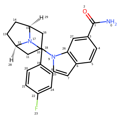 NC(=O)c1ccc2ccn(C3C[C@H]4CC[C@@H](C3)N4Cc3ccc(F)cc3)c2c1